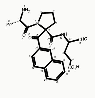 CC(C)[C@H](N)C(=O)N1CCC[C@]1(C(=O)NC(C=O)CCC(=O)O)C(=O)c1ccc2ccccc2c1